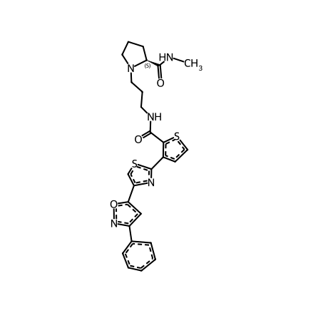 CNC(=O)[C@@H]1CCCN1CCCNC(=O)c1sccc1-c1nc(-c2cc(-c3ccccc3)no2)cs1